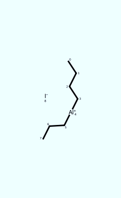 CCC[CH2][Al+][CH2]CC.[I-]